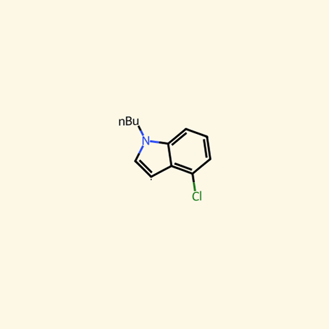 CCCCn1c[c]c2c(Cl)cccc21